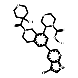 CC(C)(C)OC(=O)N1CCOCC1c1cc(-c2cnc3[nH]cc(Cl)c3c2)cc2c1CN(C(=O)C1(O)CCOCC1)CC2